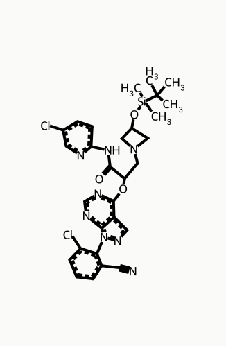 CC(C)(C)[Si](C)(C)OC1CN(CC(Oc2ncnc3c2cnn3-c2c(Cl)cccc2C#N)C(=O)Nc2ccc(Cl)cn2)C1